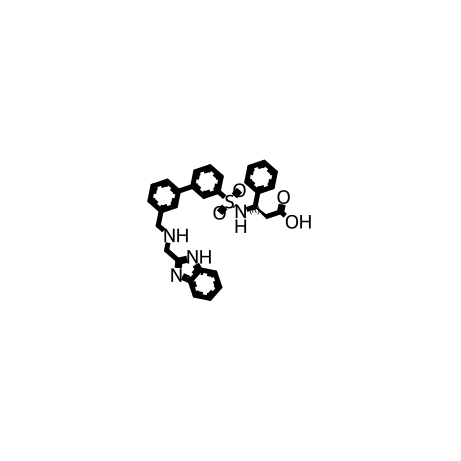 O=C(O)C[C@@H](NS(=O)(=O)c1cccc(-c2cccc(CNCc3nc4ccccc4[nH]3)c2)c1)c1ccccc1